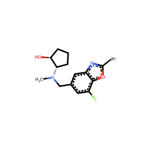 CC(C)c1nc2cc(CN(C)[C@H]3CCC[C@@H]3O)cc(F)c2o1